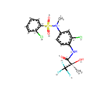 CN(c1ccc(NC(=O)[C@@](C)(O)C(F)(F)F)c(Cl)c1)S(=O)(=O)c1ccccc1Cl